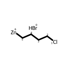 Br.ClCCC[CH2][Zn]